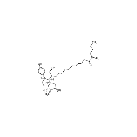 C=C1[C@H](O)C[C@H]2[C@@H]3[C@H](CCCCCCCCCCC(=O)N(C)CCCC)[C@H](O)c4cc(O)ccc4[C@H]3CC[C@]12C